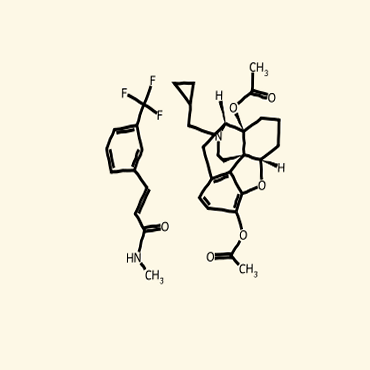 CC(=O)Oc1ccc2c3c1O[C@H]1CCC[C@@]4(OC(C)=O)[C@@H](C2)N(CC2CC2)CC[C@]314.CNC(=O)/C=C/c1cccc(C(F)(F)F)c1